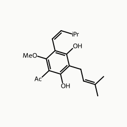 COc1c(/C=C\C(C)C)c(O)c(CC=C(C)C)c(O)c1C(C)=O